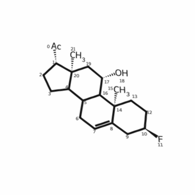 CC(=O)[C@H]1CCC2C3CC=C4C[C@H](F)CC[C@]4(C)C3[C@@H](O)C[C@@]21C